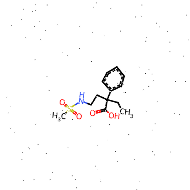 CCC(CCNS(C)(=O)=O)(C(=O)O)c1ccccc1